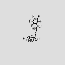 O=C(NCCCC(O)(O)O[SiH3])c1c(F)c(F)c(F)c(F)c1F